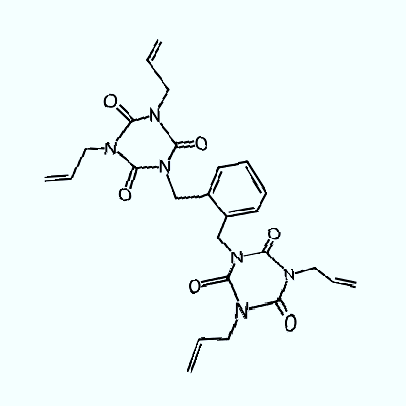 C=CCn1c(=O)n(CC=C)c(=O)n(Cc2ccccc2Cn2c(=O)n(CC=C)c(=O)n(CC=C)c2=O)c1=O